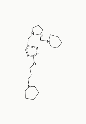 c1cc(OCCCN2CCCCC2)ccc1CN1CCC[C@H]1CN1CCCCC1